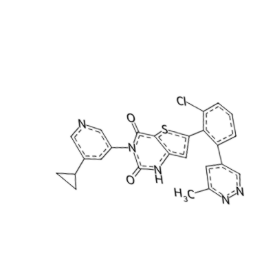 Cc1cc(-c2cccc(Cl)c2-c2cc3[nH]c(=O)n(-c4cncc(C5CC5)c4)c(=O)c3s2)cnn1